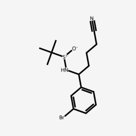 CC(C)(C)[S+]([O-])NC(CCCC#N)c1cccc(Br)c1